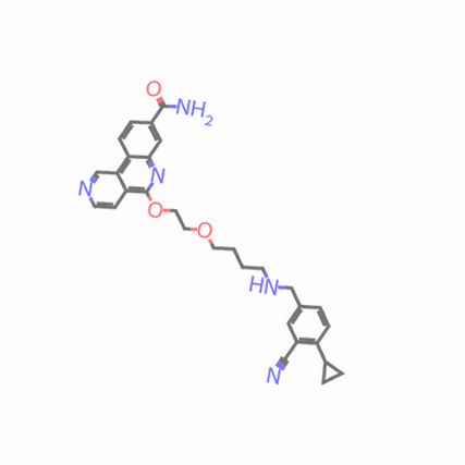 N#Cc1cc(CNCCCCOCCOc2nc3cc(C(N)=O)ccc3c3cnccc23)ccc1C1CC1